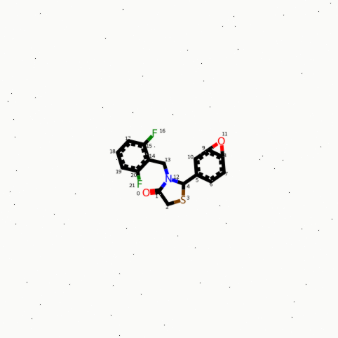 O=C1CSC(c2ccc3c(c2)O3)N1Cc1c(F)cccc1F